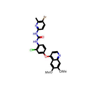 COc1cc2nccc(Oc3ccc(NC(=O)Nc4ccc(Br)c(C)n4)c(Cl)c3)c2cc1OC